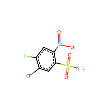 NS(=O)(=O)c1cc(Cl)c(F)cc1[N+](=O)[O-]